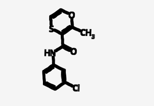 CC1=C(C(=O)Nc2cccc(Cl)c2)SC=CO1